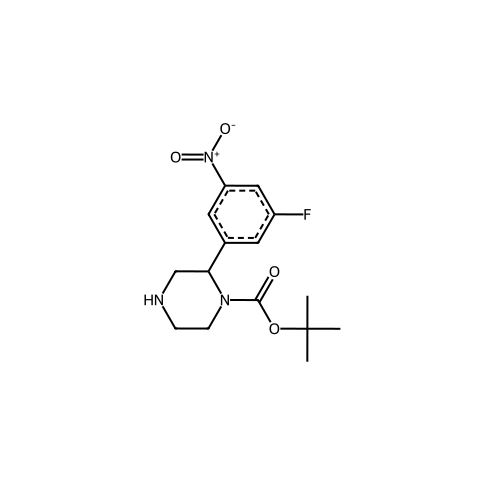 CC(C)(C)OC(=O)N1CCNCC1c1cc(F)cc([N+](=O)[O-])c1